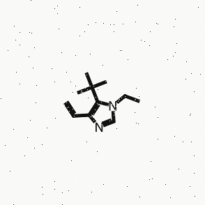 C=Cc1ncn(CC)c1C(C)(C)C